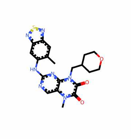 Cc1cc2nsnc2cc1Nc1ncc2c(n1)n(CC1CCOCC1)c(=O)c(=O)n2C